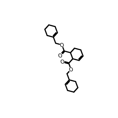 O=C(OCC1=CCCCC1)C1C=CCCC1C(=O)OCC1=CCCCC1